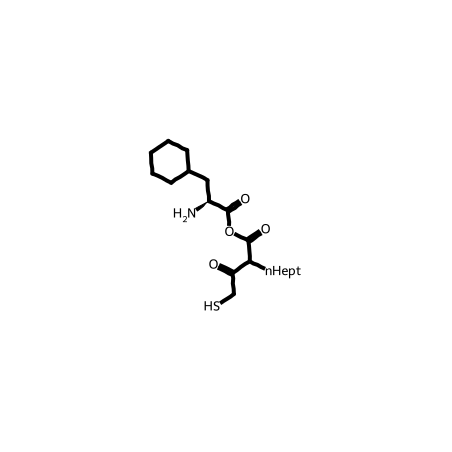 CCCCCCCC(C(=O)CS)C(=O)OC(=O)[C@@H](N)CC1CCCCC1